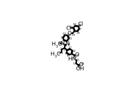 CCCC(c1ccc(C(=O)NCCC(=O)O)cc1)c1nc2cc(OCc3ccc(Cl)cc3Cl)ccc2n1C